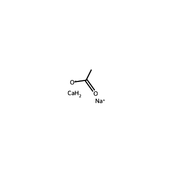 CC(=O)[O-].[CaH2].[Na+]